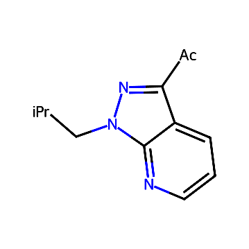 CC(=O)c1nn(CC(C)C)c2ncccc12